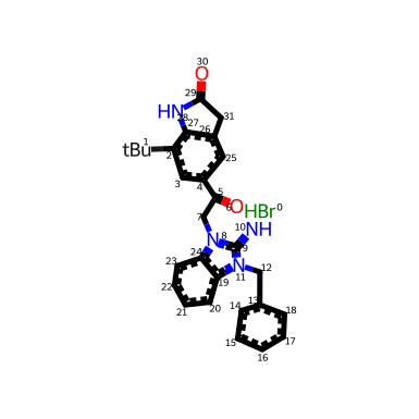 Br.CC(C)(C)c1cc(C(=O)Cn2c(=N)n(Cc3ccccc3)c3ccccc32)cc2c1NC(=O)C2